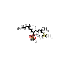 CC(=CC[S+](C)C)CCC[C@H](C)CCC[C@H](C)CCCC(C)C.O=S(=O)([O-])C(F)(F)F